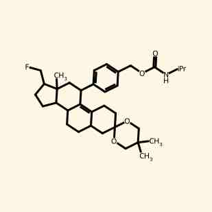 CC(C)NC(=O)OCc1ccc(C2CC3(C)C(CF)CCC3C3CCC4CC5(CCC4=C23)OCC(C)(C)CO5)cc1